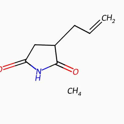 C.C=CCC1CC(=O)NC1=O